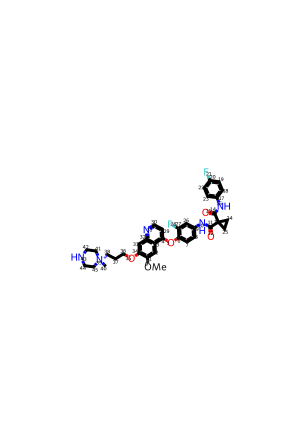 COc1cc2c(Oc3ccc(NC(=O)C4(C(=O)Nc5ccc(F)cc5)CC4)cc3F)ccnc2cc1OCCC[N+]1(C)CCNCC1